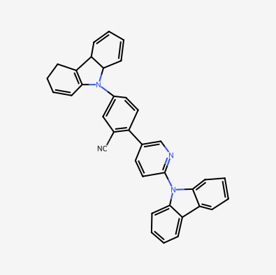 N#Cc1cc(N2C3=C(CCC=C3)C3C=CC=CC32)ccc1-c1ccc(-n2c3ccccc3c3ccccc32)nc1